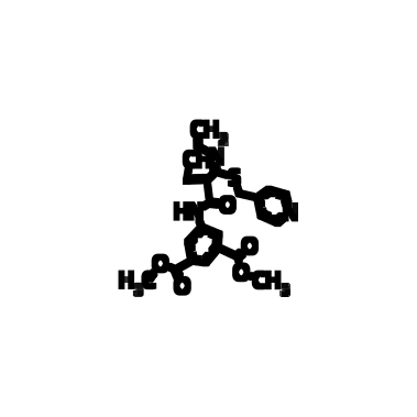 C=C/N=C(SCc1ccncc1)\C(=C/C)C(=O)Nc1cc(C(=O)OC)cc(C(=O)OC)c1